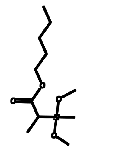 CCCCCOC(=O)C(C)[Si](C)(OC)OC